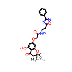 CC1(C)CC(=O)c2c(O)cc(OCC(=O)NCCc3nc(-c4ccccc4)no3)cc2O1